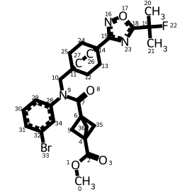 COC(=O)C12CC(C(=O)N(CC34CCC(c5noc(C(C)(C)F)n5)(CC3)CC4)c3cccc(Br)c3)(C1)C2